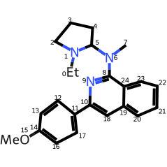 CCN1CCCC1N(C)c1nc(-c2ccc(OC)cc2)cc2ccccc12